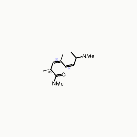 CNC(=O)[C@H](C)/C=C(C)\C=C/C(C)NC